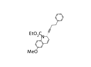 CCOC(=O)N1c2ccc(OC)cc2C=C[C@H]1C#CCCc1ccccc1